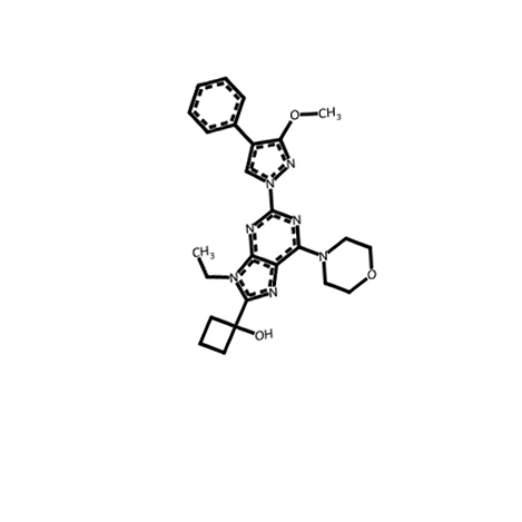 CCn1c(C2(O)CCC2)nc2c(N3CCOCC3)nc(-n3cc(-c4ccccc4)c(OC)n3)nc21